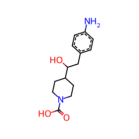 Nc1ccc(CC(O)C2CCN(C(=O)O)CC2)cc1